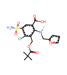 CC(C)(C)C(=O)OCc1c(Cl)c(S(N)(=O)=O)cc(C(=O)O)c1N(F)Cc1ccco1